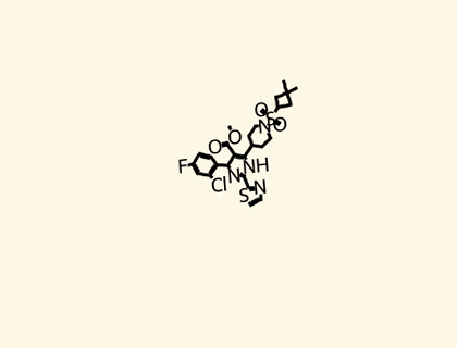 COC(=O)C1=C(C2CCN(S(=O)(=O)C3CC(C)(C)C3)CC2)NC(c2nccs2)=NC1c1ccc(F)cc1Cl